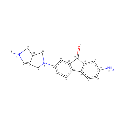 CN1C=C2CN(c3ccc4c(c3)C(=O)c3cc(N)ccc3-4)CC2C1